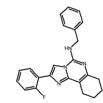 Fc1ccccc1-c1cn2c(NCc3ccccc3)nc3c(c2n1)CCCC3